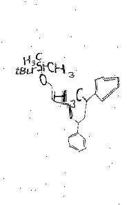 CC(CC(CCCCO[Si](C)(C)C(C)(C)C)c1ccccc1)c1ccccc1